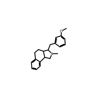 COc1cccc(CC2C3CCc4ccccc4C3CN2C)c1